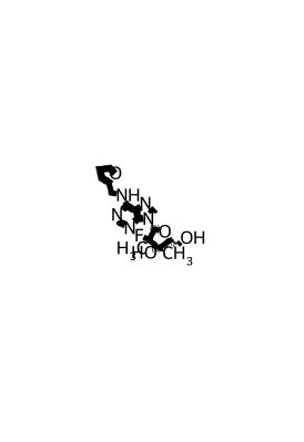 C[C@]1(O)[C@@H](CO)O[C@@H](n2cnc3c(NCc4ccco4)ncnc32)[C@]1(C)F